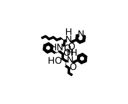 CCCCCC[C@@H](NC(=O)c1cccnc1)C(=O)N[C@@H](Cc1ccccc1)[C@@H](O)[C@H](O)[C@@H](CCCC)NC(=O)c1ccccc1